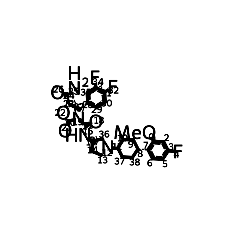 COc1cc(F)ccc1[C@H]1CC[C@H](N2CC[C@@H](NC(=O)N3C(=O)O[C@@H](C(N)=O)[C@@H]3c3ccc(F)c(F)c3)C2)CC1